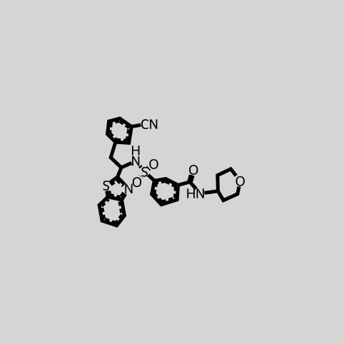 N#Cc1cccc(CC(NS(=O)(=O)c2cccc(C(=O)NC3CCOCC3)c2)c2nc3ccccc3s2)c1